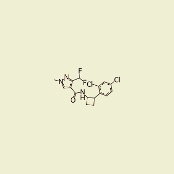 Cn1cc(C(=O)NC2CCC2c2ccc(Cl)cc2Cl)c(C(F)F)n1